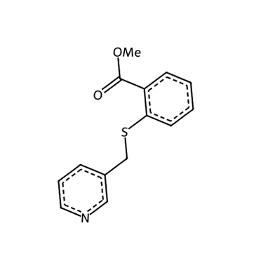 COC(=O)c1ccccc1SCc1cccnc1